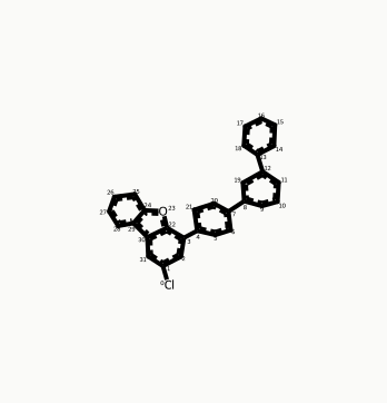 Clc1cc(-c2ccc(-c3cccc(-c4ccccc4)c3)cc2)c2oc3ccccc3c2c1